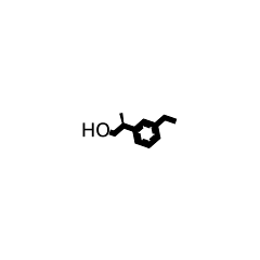 CCc1cccc([C@H](C)CO)c1